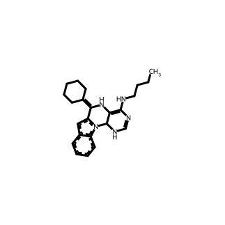 CCCCNC1=C2NC(=C3CCCCC3)c3cc4ccccc4n3C2NC=N1